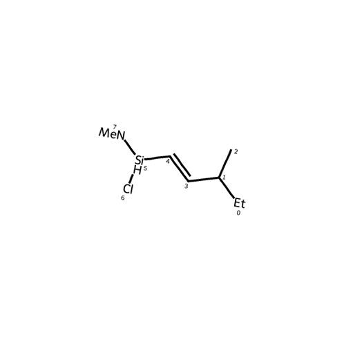 CCC(C)C=C[SiH](Cl)NC